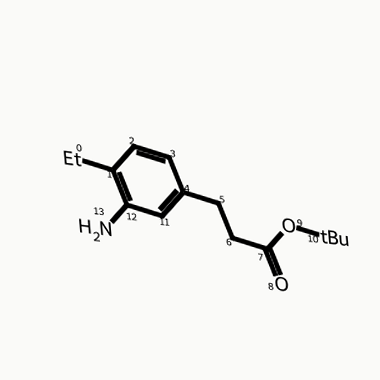 CCc1ccc(CCC(=O)OC(C)(C)C)cc1N